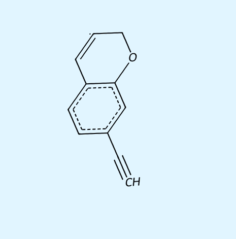 C#Cc1ccc2c(c1)OC[C]=C2